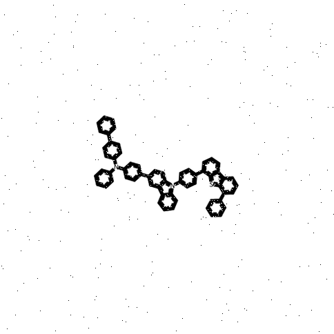 c1ccc(-c2ccc(N(c3ccccc3)c3ccc(-c4ccc5c(c4)c4ccccc4n5-c4ccc(-c5cccc6c5sc5c(-c7ccccc7)cccc56)cc4)cc3)cc2)cc1